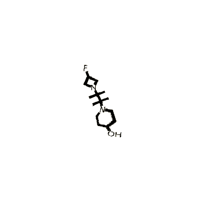 CC(C)(N1CCC(O)CC1)C(C)(C)N1CC(F)C1